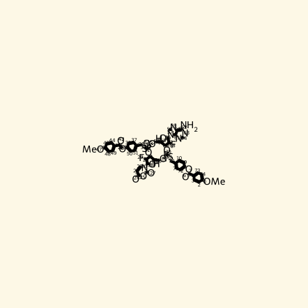 COc1ccc(C(=O)Oc2ccc(CSP3OC[C@H]4O[C@@H](n5ccc(=O)oc5=O)C(F)C4OP(=O)(SCc4ccc(OC(=O)c5ccc(OC)cc5)cc4)OC[C@H]4O[C@@H](n5cnc6c(N)ncnc65)C(F)C4O3)cc2)cc1